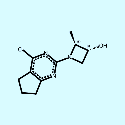 C[C@H]1[C@H](O)CN1c1nc(Cl)c2c(n1)CCC2